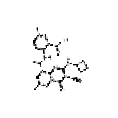 Cc1cc(C(C)Nc2ccc(C)nc2C(=O)O)c2nc(NC3CCC3)c(C#N)c(=O)n2c1